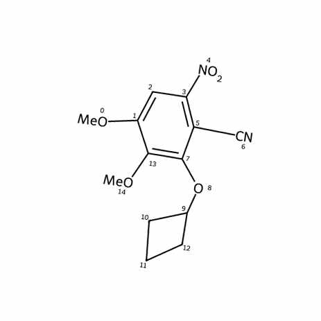 COc1cc([N+](=O)[O-])c(C#N)c(OC2CCC2)c1OC